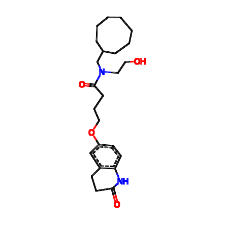 O=C1CCc2cc(OCCCC(=O)N(CCO)CC3CCCCCCC3)ccc2N1